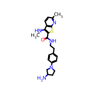 CNc1c(C(=O)NCCc2ccc(N3CCC(N)C3)cc2)sc2nc(C)ccc12